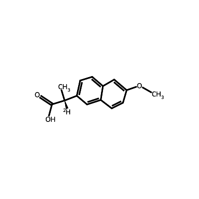 [2H][C@](C)(C(=O)O)c1ccc2cc(OC)ccc2c1